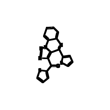 O=C(c1cccs1)c1nnn2c1c(-c1cccs1)nc1ccccc12